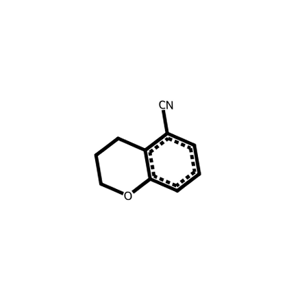 N#Cc1cccc2c1CCCO2